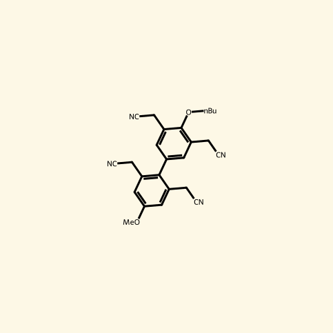 CCCCOc1c(CC#N)cc(-c2c(CC#N)cc(OC)cc2CC#N)cc1CC#N